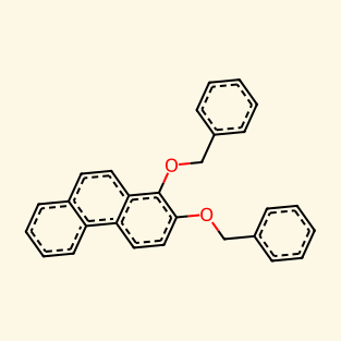 c1ccc(COc2ccc3c(ccc4ccccc43)c2OCc2ccccc2)cc1